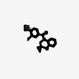 COc1ccc(C(=O)N2CC3(CC3)Oc3ccccc32)cc1F